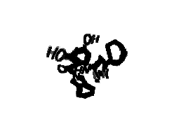 Cn1nc(C2CCCCC2)cc1Nc1cc(O)cc(O)c1C(=O)N1Cc2ccccc2C1